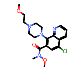 COCCN1CCN(c2c(C(=O)N(C)OC)cc(Cl)c3cccnc23)CC1